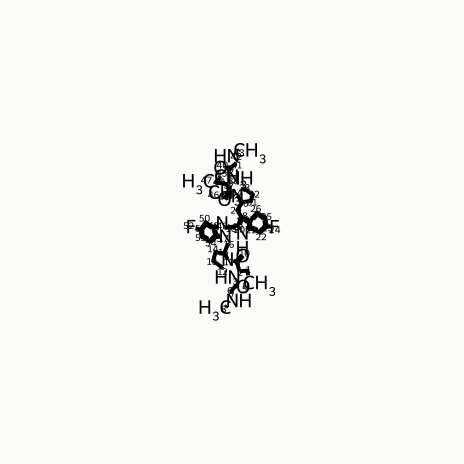 CCC(NC(=O)CNC)C(=O)N1CCCC1Cn1c(-c2[nH]c3cc(F)ccc3c2CC2CCCN2C(=O)C(NC(=O)CNC)C(C)(C)C)nc2cc(F)ccc21